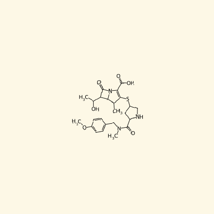 COc1ccc(CN(C)C(=O)C2CC(SC3=C(C(=O)O)N4C(=O)C(C(C)O)C4C3C)CN2)cc1